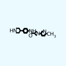 Cc1ccc(N2CC(C(=O)Nc3ccc(C4CCNCC4)cc3)C2)cn1